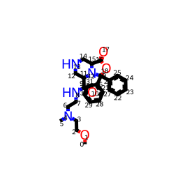 COCCN(C)CCNC(=O)C1CNCC2C(=O)OC(c3ccccc3)(c3ccccc3)N12